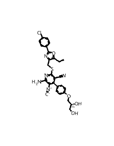 [C-]#[N+]c1c(N)nc(SCc2nc(-c3ccc(Cl)cc3)oc2CC)c(C#N)c1-c1ccc(OC[C@@H](O)CO)cc1